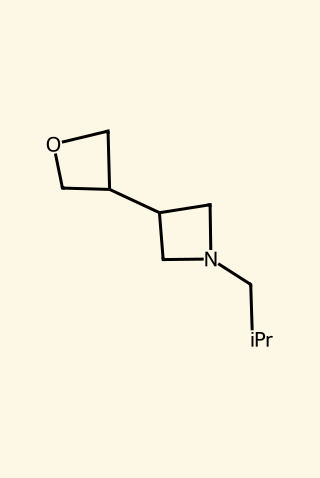 CC(C)CN1CC(C2COC2)C1